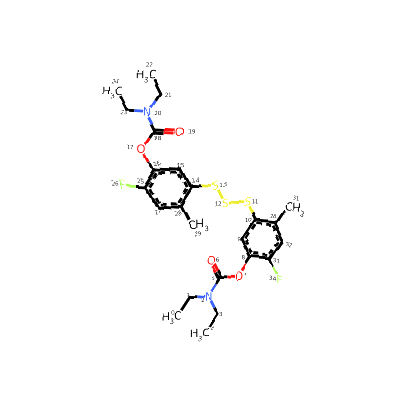 CCN(CC)C(=O)Oc1cc(SSSc2cc(OC(=O)N(CC)CC)c(F)cc2C)c(C)cc1F